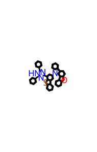 c1ccc(C2=NC(c3cc(-n4c5ccccc5c5ccc6oc7ccccc7c6c54)cc4c3sc3ccccc34)=NC(c3ccccc3)N2)cc1